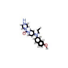 CCCN(C1CCN(C(=O)N2CCNCC2)CC1)C1CCc2ccc(OC)cc2C1